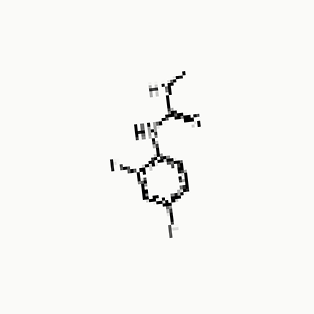 CNC(=S)Nc1ccc(F)cc1F